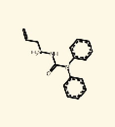 C=CC[SiH2]NC(=O)N(c1ccccc1)c1ccccc1